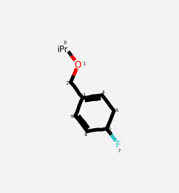 CC(C)OCC1=CCC(F)C=C1